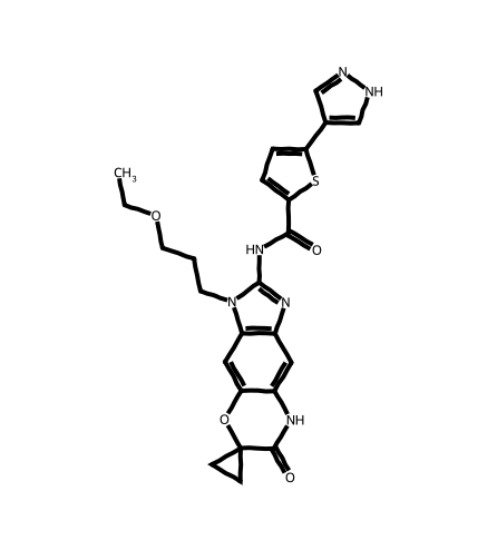 CCOCCCn1c(NC(=O)c2ccc(-c3cn[nH]c3)s2)nc2cc3c(cc21)OC1(CC1)C(=O)N3